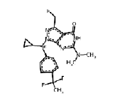 CN(C)c1nc2c(c(CF)nn2[C@@H](c2ccc(C(C)(F)F)cc2)C2CC2)c(=O)[nH]1